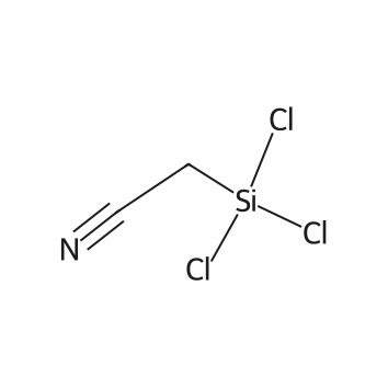 N#CC[Si](Cl)(Cl)Cl